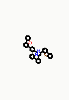 c1ccc(-c2ccccc2-c2cc(-c3cccc4c3sc3ccccc34)nc(-c3ccc(-c4cccc5c4oc4ccccc45)cc3)n2)cc1